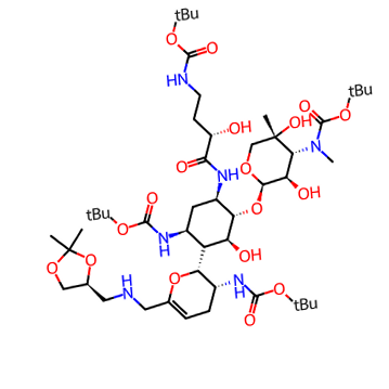 CN(C(=O)OC(C)(C)C)[C@@H]1[C@@H](O)[C@@H](O[C@H]2[C@H](NC(=O)[C@@H](O)CCNC(=O)OC(C)(C)C)C[C@H](NC(=O)OC(C)(C)C)C([C@H]3OC(CNC[C@H]4COC(C)(C)O4)=CC[C@H]3NC(=O)OC(C)(C)C)[C@@H]2O)OC[C@]1(C)O